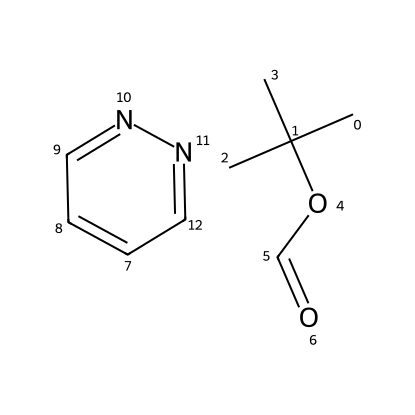 CC(C)(C)OC=O.c1ccnnc1